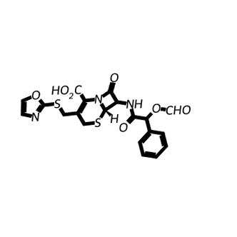 O=COC(C(=O)NC1C(=O)N2C(C(=O)O)=C(CSc3ncco3)CS[C@@H]12)c1ccccc1